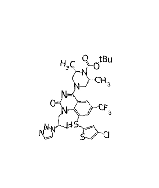 C[C@@H]1CN(c2nc(=O)n3c4c(cc(C(F)(F)F)cc24)[SH](c2cc(Cl)cs2)C[C@@H](n2ccnn2)C3)C[C@H](C)N1C(=O)OC(C)(C)C